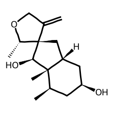 C=C1CO[C@@H](C)[C@]12C[C@@H]1C[C@@H](O)C[C@@H](C)[C@]1(C)[C@H]2O